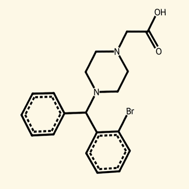 O=C(O)CN1CCN(C(c2ccccc2)c2ccccc2Br)CC1